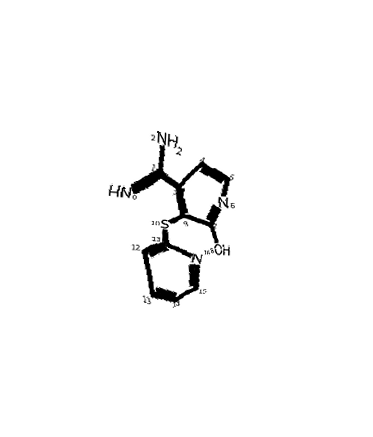 N=C(N)c1ccnc(O)c1Sc1ccccn1